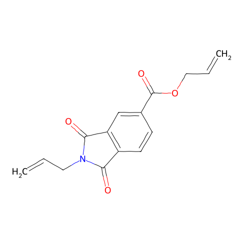 C=CCOC(=O)c1ccc2c(c1)C(=O)N(CC=C)C2=O